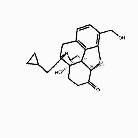 O=C1CC[C@@]2(O)C3Cc4ccc(CO)c5c4[C@@]2(CCN3CC2CC2)[C@H]1O5